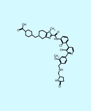 COc1cc(-c2nccc(-c3cccc(NC(=O)c4nc5c(n4C)CCN(CC4CCC(C(=O)O)CC4)C5)c3Cl)c2Cl)ccc1CNC[C@H]1CCC(=O)N1